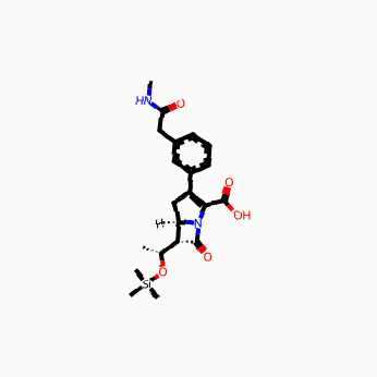 CNC(=O)Cc1cccc(C2=C(C(=O)O)N3C(=O)[C@H]([C@@H](C)O[Si](C)(C)C)[C@H]3C2)c1